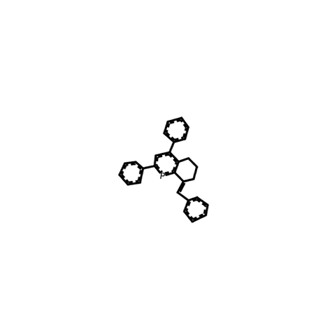 C(=C1CCCc2c(-c3ccccc3)cc(-c3ccccc3)pc21)c1ccccc1